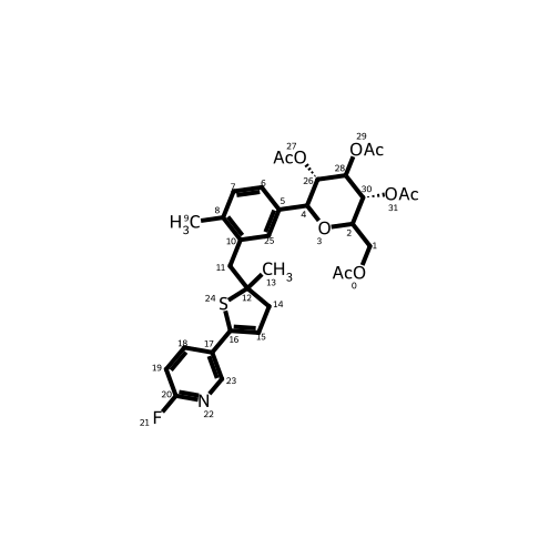 CC(=O)OCC1OC(c2ccc(C)c(CC3(C)CC=C(c4ccc(F)nc4)S3)c2)[C@H](OC(C)=O)C(OC(C)=O)[C@@H]1OC(C)=O